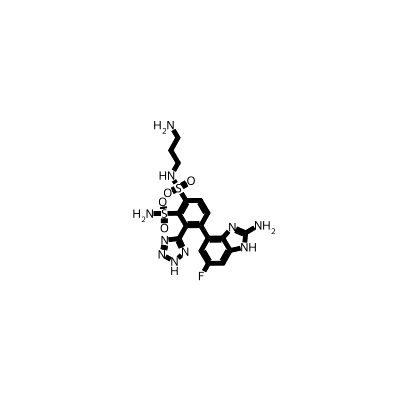 NCCCNS(=O)(=O)c1ccc(-c2cc(F)cc3[nH]c(N)nc23)c(-c2nn[nH]n2)c1S(N)(=O)=O